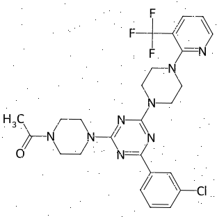 CC(=O)N1CCN(c2nc(-c3cccc(Cl)c3)nc(N3CCN(c4ncccc4C(F)(F)F)CC3)n2)CC1